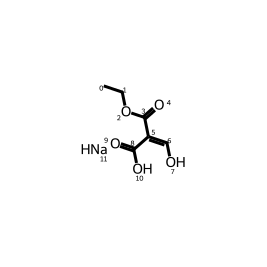 CCOC(=O)C(=CO)C(=O)O.[NaH]